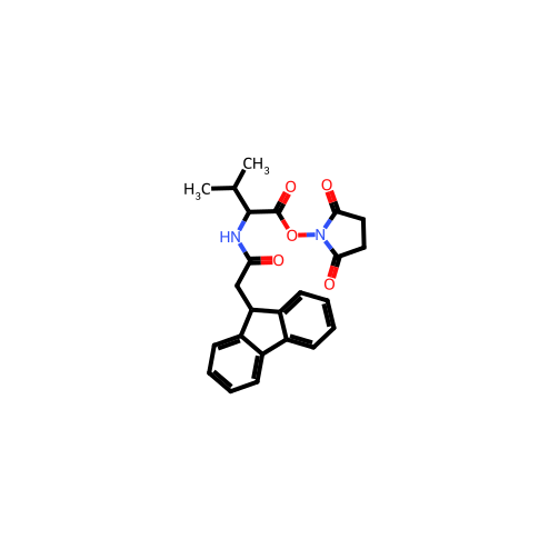 CC(C)C(NC(=O)CC1c2ccccc2-c2ccccc21)C(=O)ON1C(=O)CCC1=O